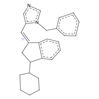 C(=C1\CC(C2CCCCC2)c2ccccc21)/c1cncn1Cc1ccccc1